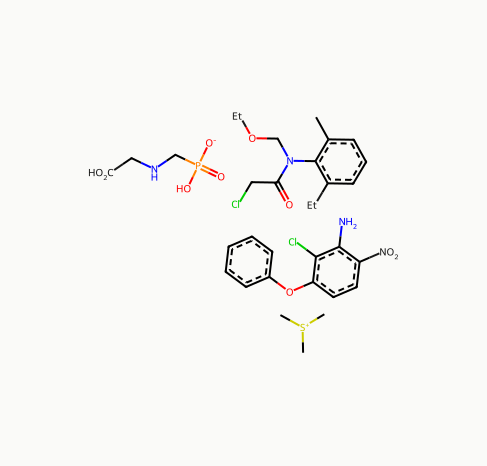 CCOCN(C(=O)CCl)c1c(C)cccc1CC.C[S+](C)C.Nc1c([N+](=O)[O-])ccc(Oc2ccccc2)c1Cl.O=C(O)CNCP(=O)([O-])O